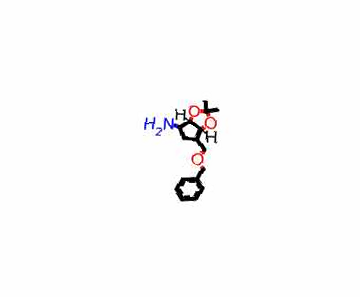 CC1(C)O[C@@H]2C(N)CC(COCc3ccccc3)[C@@H]2O1